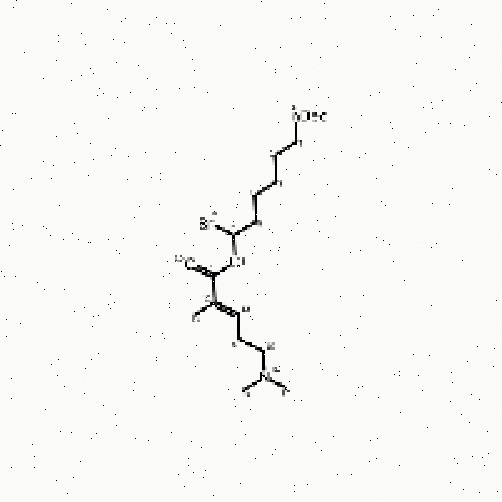 CCCCCCCCCCCCCCCC(Br)OC(=O)C(C)=CCCN(C)C